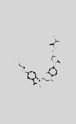 CCN(CCn1c2ccc(NC(=O)CN)cc2c(=O)n1C)c1ccc(N2C[C@H](CNC(=O)C(F)F)OC2=O)cc1F